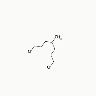 CC(CCCCl)CCCCl